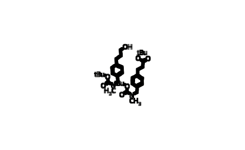 CN(Cc1ccc(CCC(=O)OC(C)(C)C)cc1)C(=O)OC(C)(C)C.CN(Cc1ccc(CCCO)cc1)C(=O)OC(C)(C)C